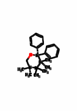 C[Si]1(C)CO[Si](c2ccccc2)(c2ccccc2)[Si](C)(C)[Si]1(C)C